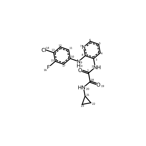 O=C(Nc1cccnc1Nc1ccc(Cl)c(F)c1)C(=O)NC1CC1